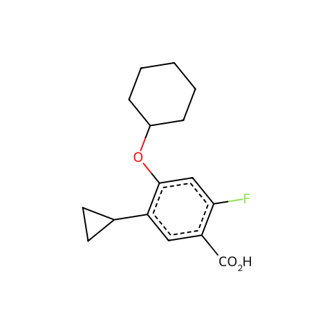 O=C(O)c1cc(C2CC2)c(OC2CCCCC2)cc1F